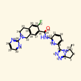 C[C@H]1CCc2nnc(-c3cccc(NC(=O)c4cc5c(cc4F)CCN(c4ncccn4)C5)n3)n21